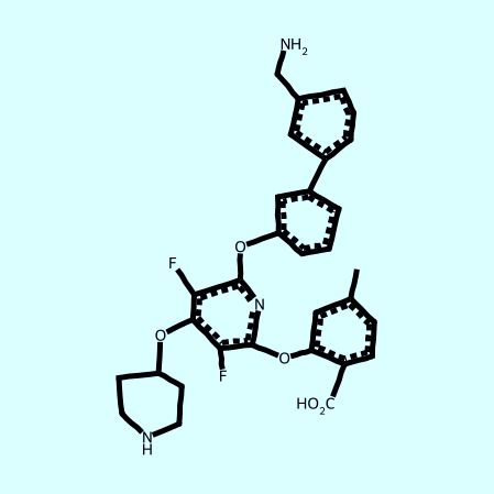 Cc1ccc(C(=O)O)c(Oc2nc(Oc3cccc(-c4cccc(CN)c4)c3)c(F)c(OC3CCNCC3)c2F)c1